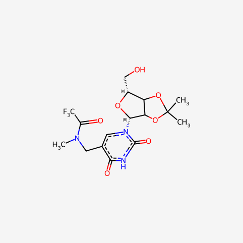 CN(Cc1cn([C@@H]2O[C@H](CO)C3OC(C)(C)OC32)c(=O)[nH]c1=O)C(=O)C(F)(F)F